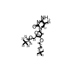 CC(C)(C)SSCO[C@H]1C[C@H](n2cc(I)c(N)nc2=O)O[C@@H]1CO[Si](C)(C)C(C)(C)C